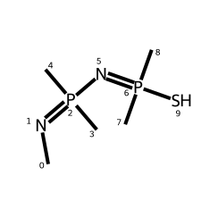 CN=P(C)(C)N=P(C)(C)S